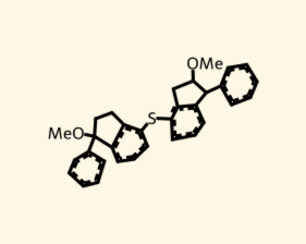 COC1Cc2c(Sc3cccc4c3CCC4(OC)c3ccccc3)cccc2C1c1ccccc1